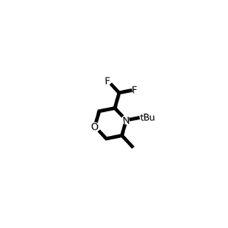 CC1COCC(C(F)F)N1C(C)(C)C